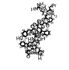 CC(C)C[C@H](N)C(=O)N[C@@H](CCCNC(=N)N)C(=O)N1CCC[C@H]1C(=O)CC(=O)N(C)C(=O)[C@@H](Cc1c[nH]c2ccccc12)NC(=O)[C@H](Cc1ccc(O)cc1)NC(=O)[C@H](CO)NC(=O)[C@H](Cc1c[nH]c2ccccc12)NC(=O)[C@H](Cc1c[nH]cn1)NC(=O)[C@@H]1CCC(=O)N1